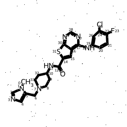 Cn1cncc1CN1CCC(NC(=O)c2cc3c(Nc4ccc(F)c(Cl)c4)ncnc3s2)CC1